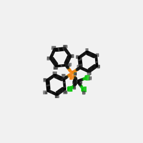 [Cl][Au]([Cl])([Cl])[PH](c1ccccc1)(c1ccccc1)c1ccccc1